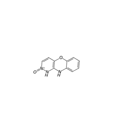 O=[n+]1ccc2c([nH]1)Nc1ccccc1O2